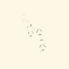 O=C(Nc1ccc(Cl)cc1)Nc1ccc(Cn2c(=O)c(CNC3CCCCC3)nc3ccccc32)cc1